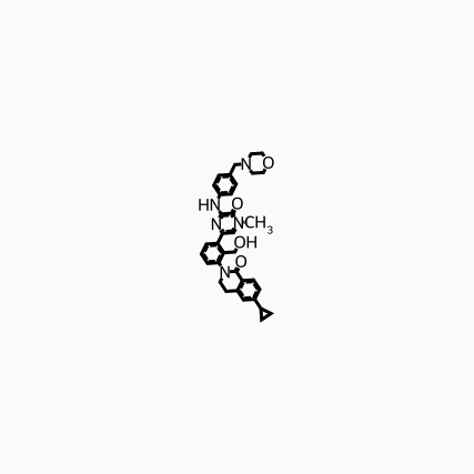 Cn1cc(-c2cccc(N3CCc4cc(C5CC5)ccc4C3=O)c2CO)nc(Nc2ccc(CN3CCOCC3)cc2)c1=O